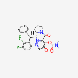 CN(C)C(=O)Oc1c2n(ncc1=O)[C@@H](C(c1ccccc1)c1cccc(F)c1F)[C@H]1CCCN1C2=O